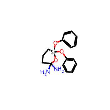 NC1(N)CCC[Si](Oc2ccccc2)(Oc2ccccc2)O1